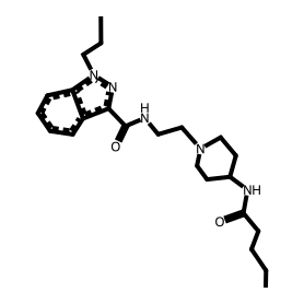 CCCCC(=O)NC1CCN(CCNC(=O)c2nn(CCC)c3ccccc23)CC1